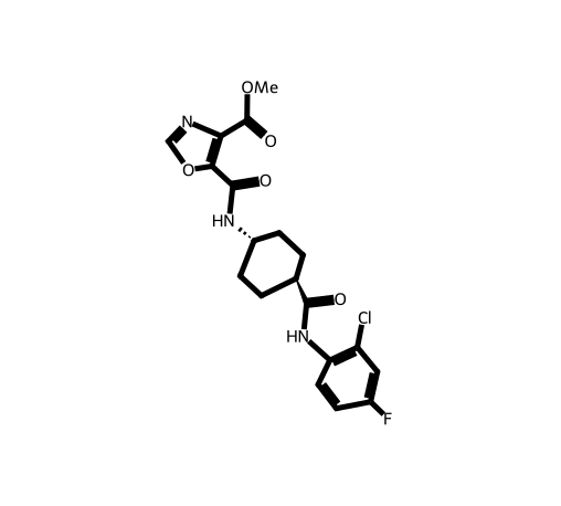 COC(=O)c1ncoc1C(=O)N[C@H]1CC[C@H](C(=O)Nc2ccc(F)cc2Cl)CC1